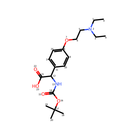 CCN(CC)CCOc1ccc(C(NC(=O)OC(C)(C)C)C(=O)O)cc1